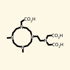 CN1CCN(C)CCN(CC(=O)O)CCN(CCN(CC(=O)O)CC(=O)O)CC1